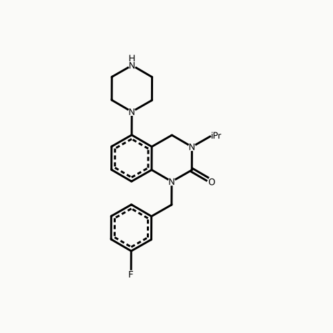 CC(C)N1Cc2c(N3CCNCC3)cccc2N(Cc2cccc(F)c2)C1=O